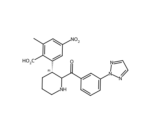 Cc1cc([N+](=O)[O-])cc([C@H]2CCCNC2C(=O)c2cccc(-n3nccn3)c2)c1C(=O)O